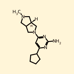 CN1CC2CN(c3cc(C4CCCC4)nc(N)n3)C[C@H]2C1